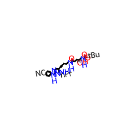 CCCNc1nc(Nc2ccc(C#N)cc2)ncc1C#CCCCNC(=O)CC[C@@H](O)CNC(=O)OC(C)(C)C